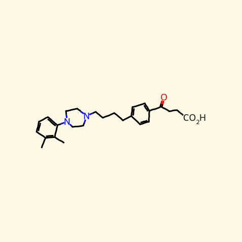 Cc1cccc(N2CCN(CCCCc3ccc(C(=O)CCC(=O)O)cc3)CC2)c1C